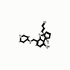 O=CC=C[C@@]12C=CC[C@@H]1C1C(O)=CC=C(COC3CCOCC3)C1O2